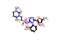 COc1cccc(OC)c1-n1c(NS(=O)(=O)CCN2C(=O)N(C)CC[C@H]2C)nnc1-c1ccc(C)o1